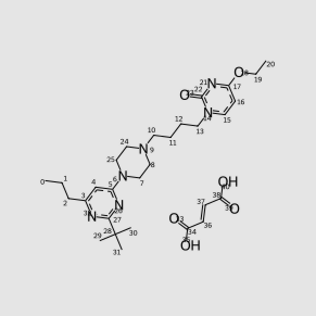 CCCc1cc(N2CCN(CCCCn3ccc(OCC)nc3=O)CC2)nc(C(C)(C)C)n1.O=C(O)C=CC(=O)O